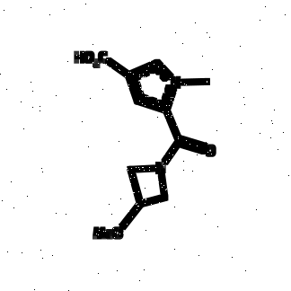 COC1CN(C(=O)c2cc(C(=O)O)cn2C)C1